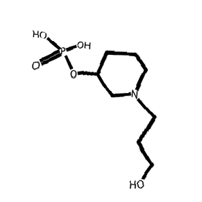 O=P(O)(O)OC1CCCN(CCCO)C1